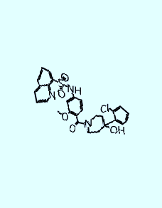 COc1cc(NS(=O)(=O)c2cccc3cccnc23)ccc1C(=O)N1CCC(O)(c2ccccc2Cl)CC1